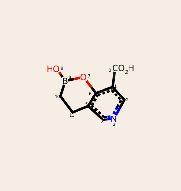 O=C(O)c1cncc2c1OB(O)CC2